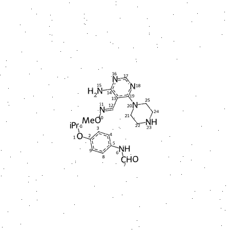 CC(C)Oc1ccc(NC=O)cc1.CON=Cc1c(N)ncnc1N1CCNCC1